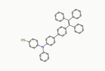 Sc1ccc(N(c2ccccc2)c2ccc(-c3ccc(C(=C(c4ccccc4)c4ccccc4)c4ccccc4)cc3)cc2)cc1